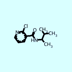 CC(C)C(C)NC(=O)c1cccnc1Cl